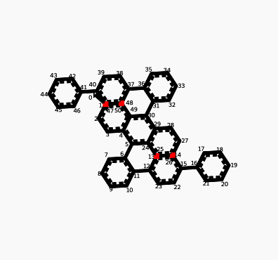 Ic1ccc2c(-c3ccccc3-c3ccc(-c4ccccc4)cc3)c3ccccc3c(-c3ccccc3-c3ccc(-c4ccccc4)cc3)c2c1